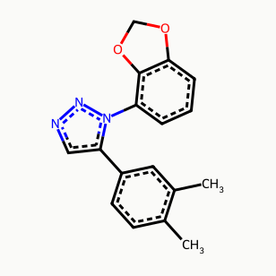 Cc1ccc(-c2cnnn2-c2cccc3c2OCO3)cc1C